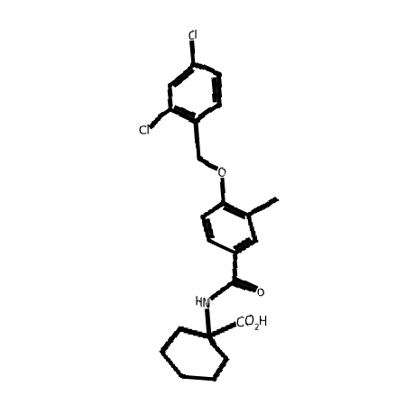 Cc1cc(C(=O)NC2(C(=O)O)CCCCC2)ccc1OCc1ccc(Cl)cc1Cl